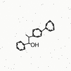 CC(c1ccc(-c2ccccc2)cc1)C(O)c1ccccc1